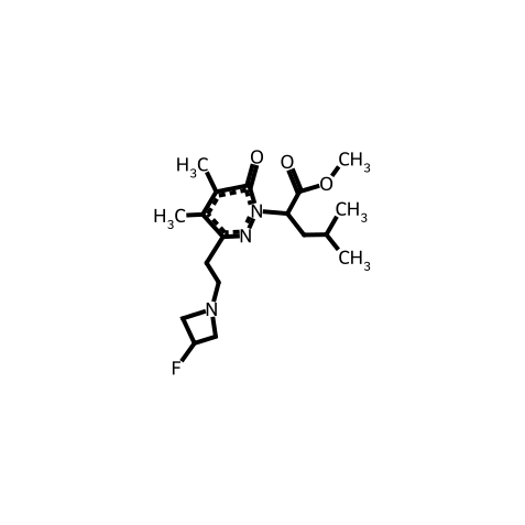 COC(=O)C(CC(C)C)n1nc(CCN2CC(F)C2)c(C)c(C)c1=O